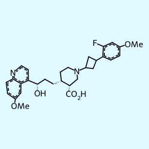 COc1ccc(C2CC(N3CC[C@@H](CC[C@H](O)c4ccnc5ccc(OC)cc45)[C@@H](C(=O)O)C3)C2)c(F)c1